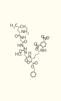 CC(C)C[C@H](N)C(=O)NCC(=O)NCC(=O)N[C@@H](CO)C(=O)N[C@@H](CCCCNc1ccc([N+](=O)[O-])cc1[N+](=O)[O-])C(=O)C(=O)OCc1ccccc1